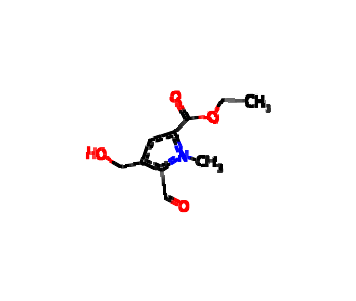 CCOC(=O)c1cc(CO)c(C=O)n1C